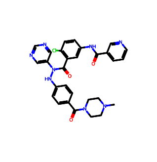 CN1CCN(C(=O)c2ccc(NN(C(=O)c3cc(NC(=O)c4cccnc4)ccc3Cl)c3cncnc3)cc2)CC1